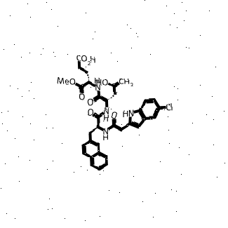 C=C(O)C[C@H](NC(=O)[C@H](Cc1ccc2ccccc2c1)NC(=O)Cc1cc2cc(Cl)ccc2[nH]1)C(=O)N[C@@H](CCC(=O)O)C(=O)OC